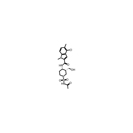 CC(=O)NS(=O)(=O)N1CC[C@H](NC(=O)c2cc3c(Cl)c(C)ccc3n2C)[C@H](CO)C1